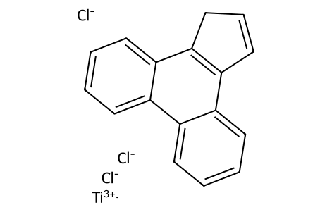 C1=Cc2c(c3ccccc3c3ccccc23)C1.[Cl-].[Cl-].[Cl-].[Ti+3]